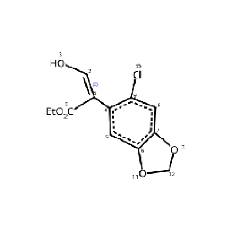 CCOC(=O)/C(=C\O)c1cc2c(cc1Cl)OCO2